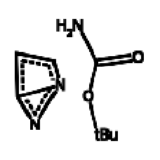 CC(C)(C)OC(N)=O.c1cn2nc1-2